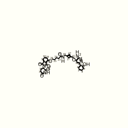 Nc1nnc(-c2ccccc2O)cc1OCC12CC(CNC(=O)CCCCOc3cccc4c3C(=O)N(C3CCC(=O)NC3=O)C4=O)(C1)C2